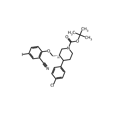 CC(C)(C)OC(=O)N1CCC(c2ccc(Cl)cc2)[C@H](COc2ccc(I)cc2C#N)C1